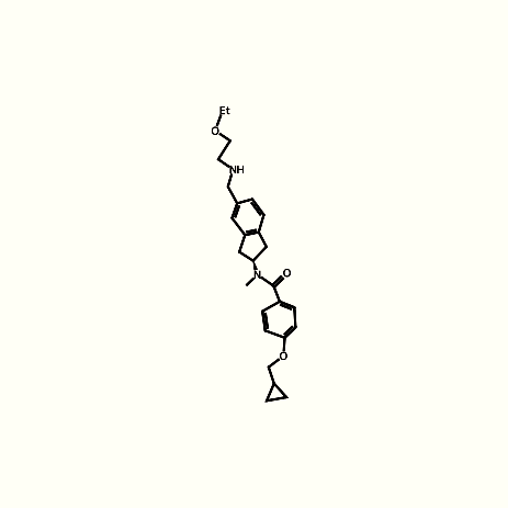 CCOCCNCc1ccc2c(c1)C[C@H](N(C)C(=O)c1ccc(OCC3CC3)cc1)C2